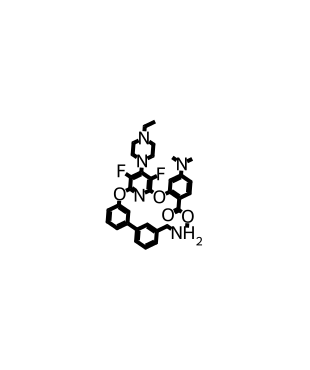 CCN1CCN(c2c(F)c(Oc3cccc(-c4cccc(CN)c4)c3)nc(Oc3cc(N(C)C)ccc3C(=O)OC)c2F)CC1